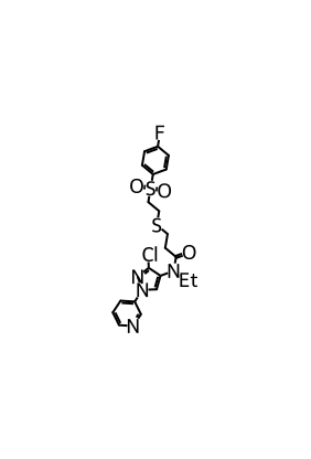 CCN(C(=O)CCSCCS(=O)(=O)c1ccc(F)cc1)c1cn(-c2cccnc2)nc1Cl